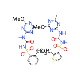 COc1nc(C)nc(N(C)C(=O)NS(=O)(=O)c2ccccc2C(=O)O)n1.COc1nc(C)nc(NC(=O)NS(=O)(=O)c2ccsc2C(=O)O)n1